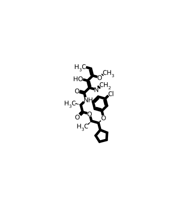 C=N/C(C(=O)N[C@@H](C)C(=O)O[C@@H](C)[C@H](Oc1cccc(Cl)c1)C1CCCC1)=C(O)\C(=C/C)OC